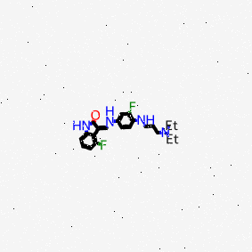 CCN(CC)CCCNc1ccc(NC=C2C(=O)Nc3cccc(F)c32)cc1F